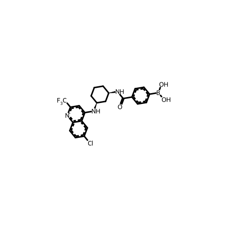 O=C(N[C@@H]1CCC[C@H](Nc2cc(C(F)(F)F)nc3ccc(Cl)cc23)C1)c1ccc(B(O)O)cc1